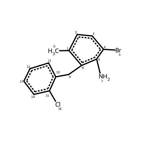 Cc1ccc(Br)c(N)c1Cc1ccccc1Cl